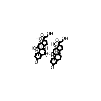 C[C@H]1C[C@@H]2[C@H]([C@@H](O)C[C@@]3(C)[C@H]2CC[C@]3(O)C(=O)CO)[C@@]2(C)C=CC(=O)C=C12.C[C@]12C=CC(=O)C=C1CC[C@@H]1[C@@H]2[C@@H](O)C[C@@]2(C)[C@H]1CC[C@]2(O)C(=O)CO